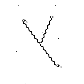 CCCCCCCCCCCCP(CCCCCCCCCCCC)CCCCCCCCCCCC